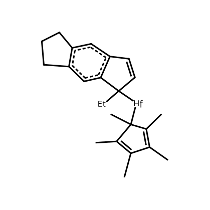 CC[C]1([Hf][C]2(C)C(C)=C(C)C(C)=C2C)C=Cc2cc3c(cc21)CCC3